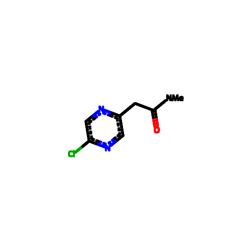 CNC(=O)Cc1cnc(Cl)cn1